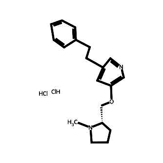 CN1CCC[C@H]1COc1cncc(CCc2ccccc2)c1.Cl.Cl